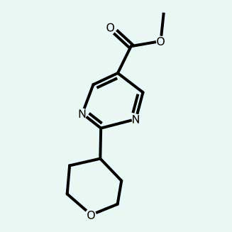 COC(=O)c1cnc(C2CCOCC2)nc1